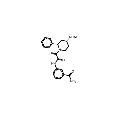 CC(=O)N[C@@H]1CCN(C(=O)C(=O)Nc2cncc(C(N)=O)c2)[C@H](c2ccccc2)C1